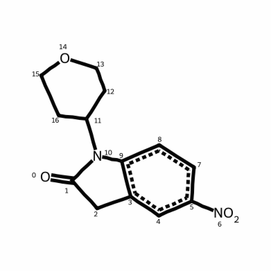 O=C1Cc2cc([N+](=O)[O-])ccc2N1C1CCOCC1